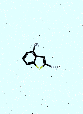 CCOC(=O)c1cc2c(C(F)(F)F)cccc2s1